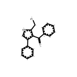 CC(C)Cc1[nH]cc(-c2ccccc2)c1C(=O)c1ccccc1